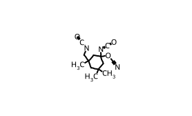 CC1(C)CC(C)(CN=C=O)CC(N=C=O)(OC#N)C1